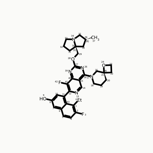 CCc1c(F)ccc2cc(O)cc(-c3ncc4c(N5CCC[C@@]6(CCO6)C5)nc(OC[C@@]56CCCN5C[C@H](C)C6)nc4c3F)c12